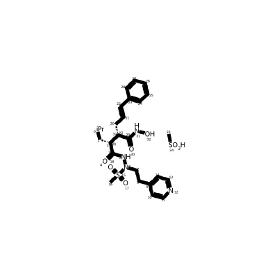 CC(C)C[C@@H](C(=O)NN(CCc1ccncc1)S(C)(=O)=O)[C@H](CC=Cc1ccccc1)C(=O)NO.CS(=O)(=O)O